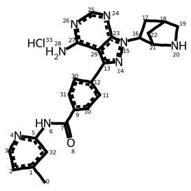 Cc1ccnc(NC(=O)c2ccc(-c3nn(C4CC5CNC4C5)c4ncnc(N)c34)cc2)c1.Cl